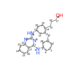 Cc1cccc(Nc2nc(Nc3ccc(CCCO)cc3)nc3ccccc23)c1